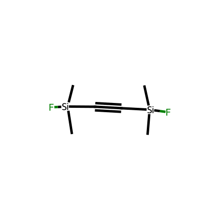 C[Si](C)(F)C#C[Si](C)(C)F